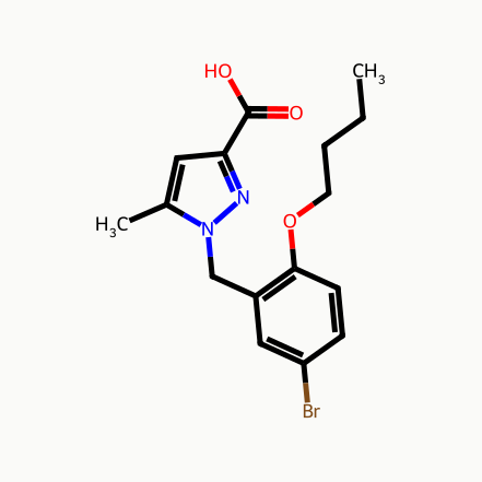 CCCCOc1ccc(Br)cc1Cn1nc(C(=O)O)cc1C